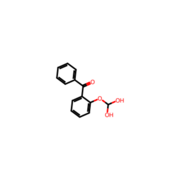 O=C(c1ccccc1)c1ccccc1OC(O)O